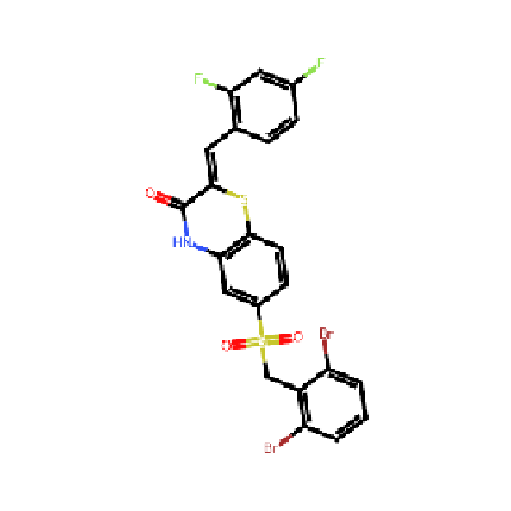 O=C1Nc2cc(S(=O)(=O)Cc3c(Br)cccc3Br)ccc2SC1=Cc1ccc(F)cc1F